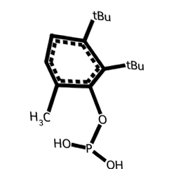 Cc1ccc(C(C)(C)C)c(C(C)(C)C)c1OP(O)O